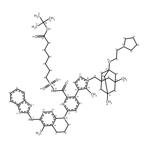 Cc1c(Nc2nc3ccccc3s2)nnc2c1CCCN2c1ccc(-c2cnn(CC34CC5(C)CC(C)(C3)CC(OCCN3CCCC3)(C5)C4)c2C)c(C(=O)NS(=O)(=O)CCCCCCC(=O)OC(C)(C)C)n1